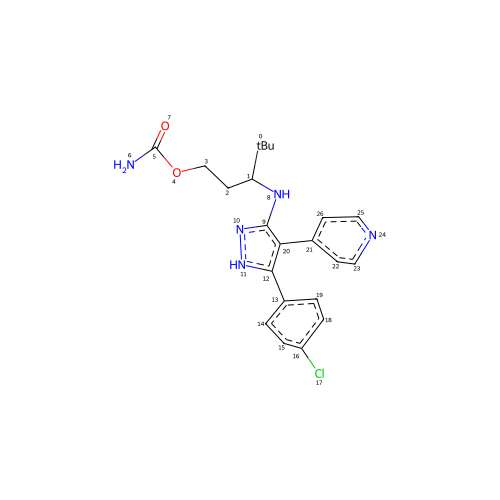 CC(C)(C)C(CCOC(N)=O)Nc1n[nH]c(-c2ccc(Cl)cc2)c1-c1ccncc1